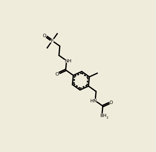 BC(=O)NCc1ccc(C(=O)NCCP(C)(C)=O)cc1C